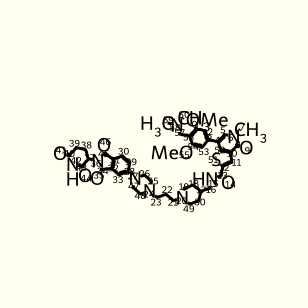 COc1cc(-c2cn(C)c(=O)c3cc(C(=O)NCC4CCN(CCCN5CCN(c6ccc7c(c6)C(=O)N(C6CCC(=O)NC6=O)C7=O)CC5)CC4)sc23)cc(OC)c1CN(C)C